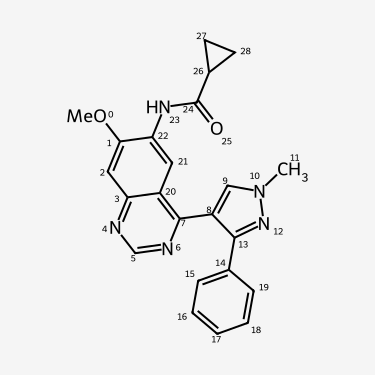 COc1cc2ncnc(-c3cn(C)nc3-c3ccccc3)c2cc1NC(=O)C1CC1